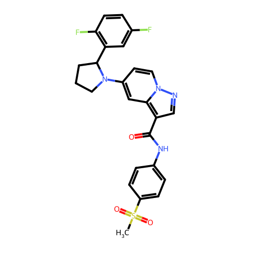 CS(=O)(=O)c1ccc(NC(=O)c2cnn3ccc(N4CCCC4c4cc(F)ccc4F)cc23)cc1